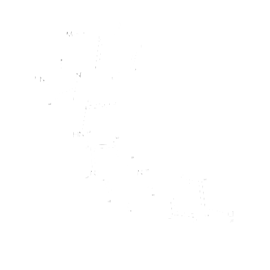 COc1ccccc1-n1cncc1C(=O)Nc1nc2ccc(-c3ccc(Cl)cc3)nc2s1